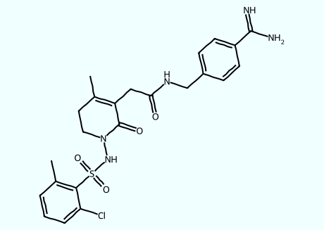 CC1=C(CC(=O)NCc2ccc(C(=N)N)cc2)C(=O)N(NS(=O)(=O)c2c(C)cccc2Cl)CC1